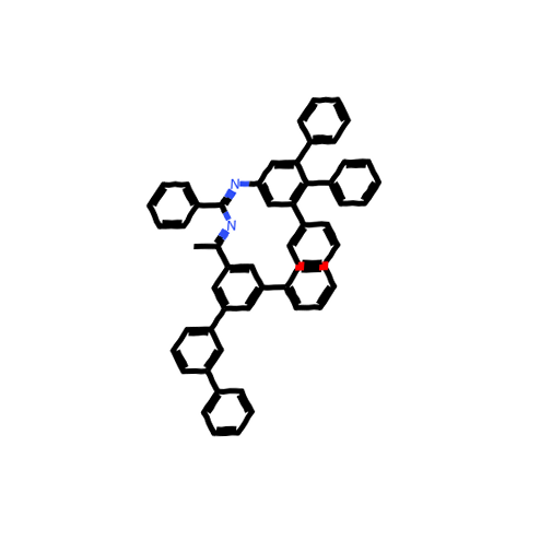 C/C(=N\C(=N/c1cc(-c2ccccc2)c(-c2ccccc2)c(-c2ccccc2)c1)c1ccccc1)c1cc(-c2ccccc2)cc(-c2cccc(-c3ccccc3)c2)c1